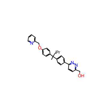 CC(C)C(C)(c1ccc(OCc2ccccn2)cc1)c1ccc(-c2ccc(CO)nn2)cc1